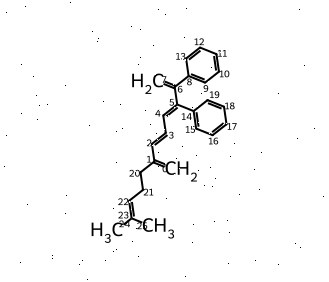 C=C(C=CC=C(C(=C)c1ccccc1)c1ccccc1)CCC=C(C)C